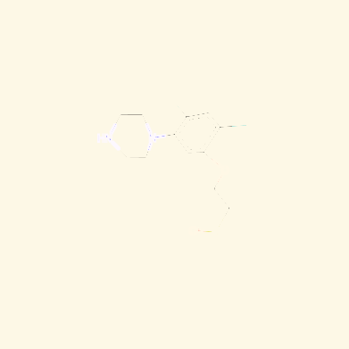 C[S@+]([O-])CCOc1cc(N2CCNCC2)c(F)cc1F